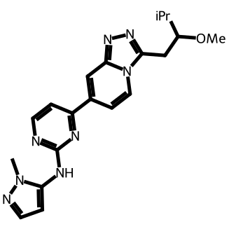 COC(Cc1nnc2cc(-c3ccnc(Nc4ccnn4C)n3)ccn12)C(C)C